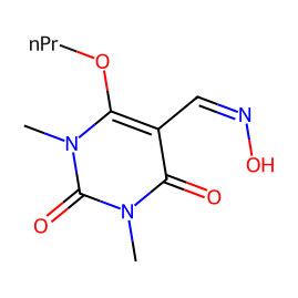 CCCOc1c(/C=N\O)c(=O)n(C)c(=O)n1C